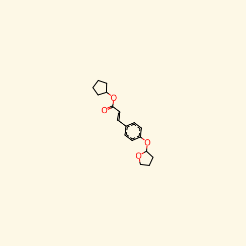 O=C(/C=C/c1ccc(OC2CCCO2)cc1)OC1CCCC1